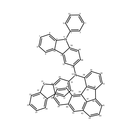 c1ccc(-n2c3ccccc3c3cc(N(c4ccc5c(c4)sc4ccccc45)c4cccc5c4-c4c6ccccc6cc6cccc-5c46)ccc32)cc1